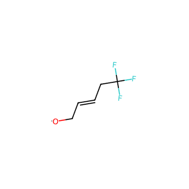 [O]CC=CCC(F)(F)F